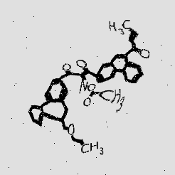 CCCOCc1cc2cc(C(=O)C(=NOC(C)=O)C(=O)c3ccc4c(c3)cc(C(=O)CCC)c3ccccc34)ccc2c2ccccc12